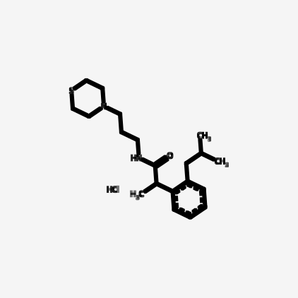 CC(C)Cc1ccccc1C(C)C(=O)NCCCN1CCSCC1.Cl